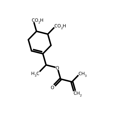 C=C(C)C(=O)OC(C)C1=CCC(C(=O)O)C(C(=O)O)C1